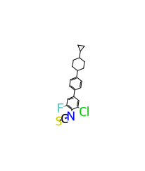 Fc1cc(-c2ccc(C3CCC(C4CC4)CC3)cc2)cc(Cl)c1N=C=S